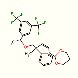 C[C@@H](OC[C@](C)(/C=C\CC1OCCCO1)c1ccccc1)c1cc(C(F)(F)F)cc(C(F)(F)F)c1